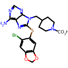 Nc1ncnc2c1nc(Sc1cc3c(cc1Br)OCO3)n2CC1CCN(C(=O)O)CC1